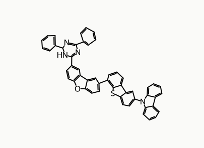 c1ccc(C2=NC(c3ccccc3)NC(c3ccc4oc5ccc(-c6cccc7c6sc6ccc(-n8c9ccccc9c9ccccc98)cc67)cc5c4c3)=N2)cc1